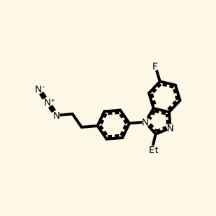 CCc1nc2ccc(F)cc2n1-c1ccc(CCN=[N+]=[N-])cc1